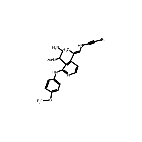 CCC#CN/C=C(\C)c1ccnc(Nc2ccc(OC(F)(F)F)cc2)c1C(CN)NC